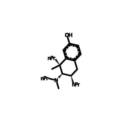 CCC[C@H]1Cc2ccc(O)cc2[C@@](C)(CCC)[C@H]1N(C)CCC